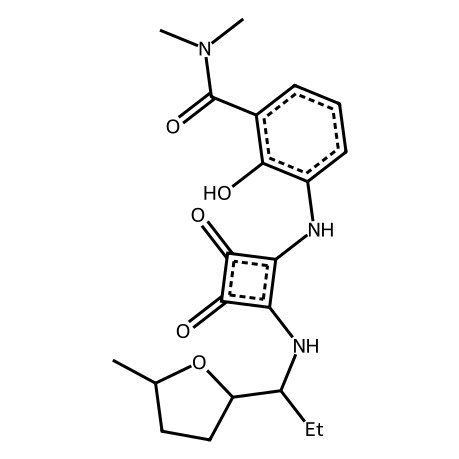 CCC(Nc1c(Nc2cccc(C(=O)N(C)C)c2O)c(=O)c1=O)C1CCC(C)O1